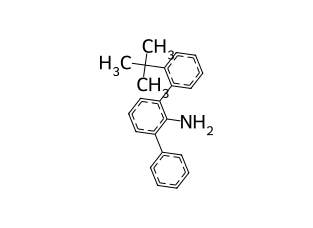 CC(C)(C)c1ccccc1-c1cccc(-c2ccccc2)c1N